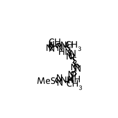 CSc1cnc(NCC(C)CNc2ccc(-c3nccc(CSc4cnc(NCC(C)CNc5ccc(-c6nncn6C)cn5)nc4)n3)cn2)nc1